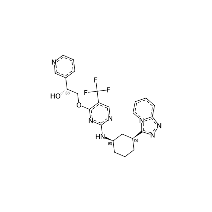 O[C@@H](COc1nc(N[C@@H]2CCC[C@H](c3nnc4ccccn34)C2)ncc1C(F)(F)F)c1cccnc1